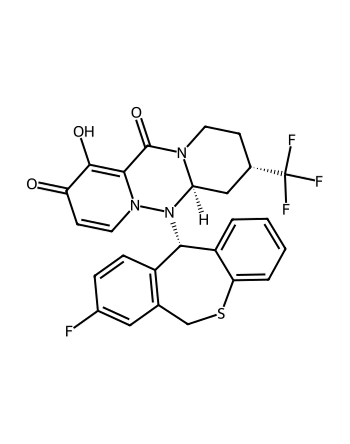 O=C1c2c(O)c(=O)ccn2N([C@H]2c3ccc(F)cc3CSc3ccccc32)[C@@H]2C[C@@H](C(F)(F)F)CCN12